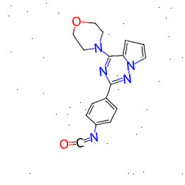 O=C=Nc1ccc(-c2nc(N3CCOCC3)c3cccn3n2)cc1